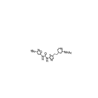 CC(=O)Nc1cc(CCc2cnc(NC(=O)Nc3cc(C(C)(C)C)no3)s2)ccn1